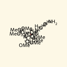 COc1ccc(-c2nc(-c3cc(OC)c(OC)c(OC)c3)n(Cc3ccc(C(=O)NCCOCCOCCN)cc3)c2-c2ccc(OC)c(OC)c2)cc1OC